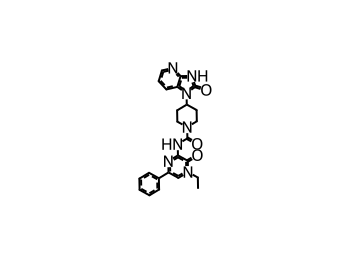 CCn1cc(-c2ccccc2)nc(NC(=O)N2CCC(n3c(=O)[nH]c4ncccc43)CC2)c1=O